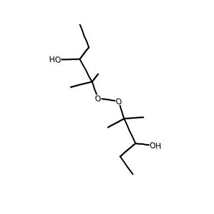 CCC(O)C(C)(C)OOC(C)(C)C(O)CC